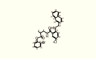 CC(CNC(=O)c1cc(Cl)ccc1NCc1ccc2ccccc2c1)C(=O)Oc1ccccc1Br